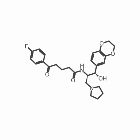 O=C(CCCC(=O)c1ccc(F)cc1)N[C@H](CN1CCCC1)[C@H](O)c1ccc2c(c1)OCCO2